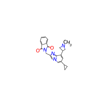 CN1CC(c2cc(C3CC3)cn3cc(CN4C(=O)c5ccccc5C4=O)nc23)C1